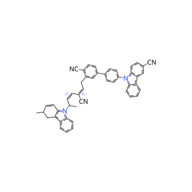 CC1C=Cc2c(c3ccccc3n2C(C)/C=C\C(C#N)=C/Cc2cc(-c3ccc(-n4c5ccccc5c5cc(C#N)ccc54)cc3)ccc2C#N)C1